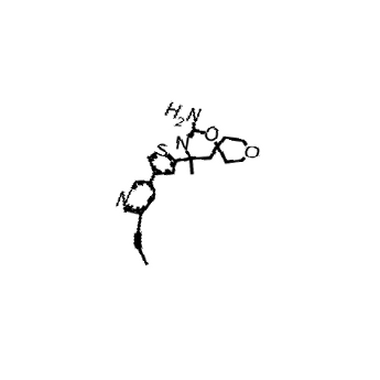 CC#Cc1cncc(-c2csc(C3(C)CC4(CCOCC4)OC(N)=N3)c2)c1